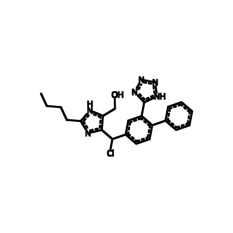 CCCCc1nc(C(Cl)c2ccc(-c3ccccc3)c(-c3nnn[nH]3)c2)c(CO)[nH]1